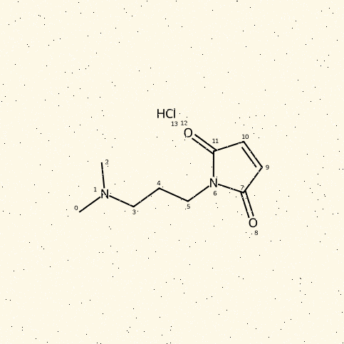 CN(C)CCCN1C(=O)C=CC1=O.Cl